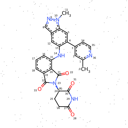 Cc1cc(-c2cc3c(cnn3C)cc2Nc2cccc3c2C(=O)N([C@@H]2CCC(=O)NC2=O)C3=O)ccn1